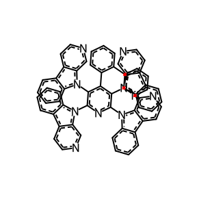 c1cncc(-c2ccccc2-c2c(-n3c4ccccc4c4ccncc43)c(-n3c4ccccc4c4ccncc43)nc(-n3c4ccccc4c4ccncc43)c2-n2c3ccccc3c3ccncc32)c1